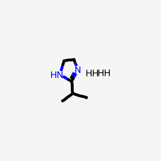 CC(C)C1=NCCN1.[HH].[HH]